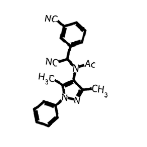 CC(=O)N(c1c(C)nn(-c2ccccc2)c1C)C(C#N)c1cccc(C#N)c1